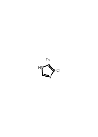 Cl.[Zn].c1c[nH]cn1